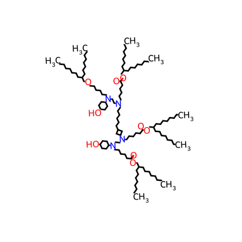 CCCCCCCCC(CCCCCCCC)COCCCCCCN(CCN(CCCCCCC1CC(N(CCCCCC(=O)OCC(CCCCCCCC)CCCCCCCC)CCN(CCCCCC(=O)OCC(CCCCCCCC)CCCCCCCC)C2CCC(O)CC2)C1)CCCCCC(=O)OCC(CCCCCCCC)CCCCCCCC)C1CCC(O)CC1